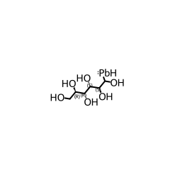 OC[C@@H](O)[C@@H](O)[C@H](O)[C@H](O)[CH](O)[PbH]